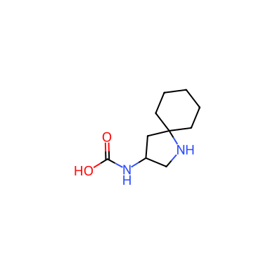 O=C(O)NC1CNC2(CCCCC2)C1